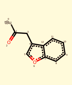 CC(C)(C)C(=O)Cc1coc2ccccc12